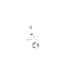 CCCc1cccc(CCC)c1OP(=O)(COC)N[C@@H](C)C(=O)OC1CC1